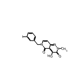 Cn1nc2ccn(Cc3cccc(I)c3)c(=O)c2c(O)c1=O